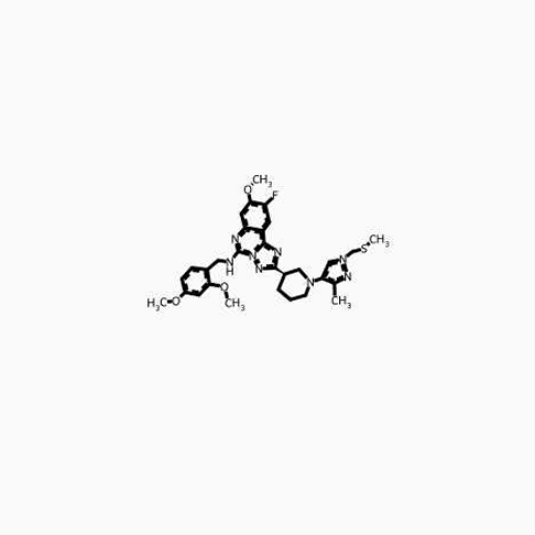 COc1ccc(CNc2nc3cc(OC)c(F)cc3c3nc([C@@H]4CCCN(c5cn(CSC)nc5C)C4)nn23)c(OC)c1